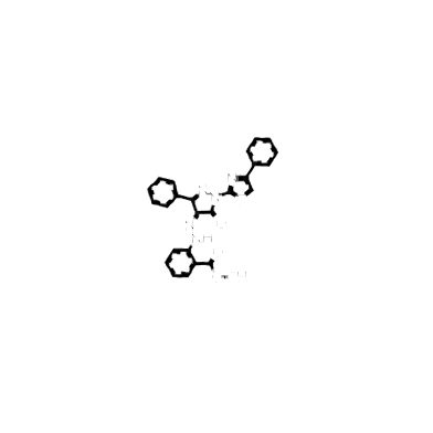 COC(=O)c1ccccc1N/N=C1\C(=O)N(c2nc(-c3ccccc3)cs2)N=C1c1ccccc1